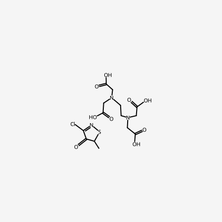 CC1SN=C(Cl)C1=O.O=C(O)CN(CCN(CC(=O)O)CC(=O)O)CC(=O)O